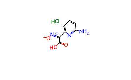 CO/N=C(\C(=O)O)c1cccc(N)n1.Cl